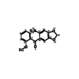 CCOc1ccccc1C(=O)c1cc2c(cc1[N+](=O)[O-])OCO2